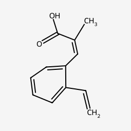 C=Cc1ccccc1C=C(C)C(=O)O